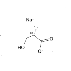 C[C@@H](CO)C(=O)[O-].[Na+]